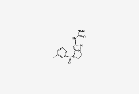 CNC(=O)Nc1cc2n(n1)CCN2C(=O)c1cccc(C)c1